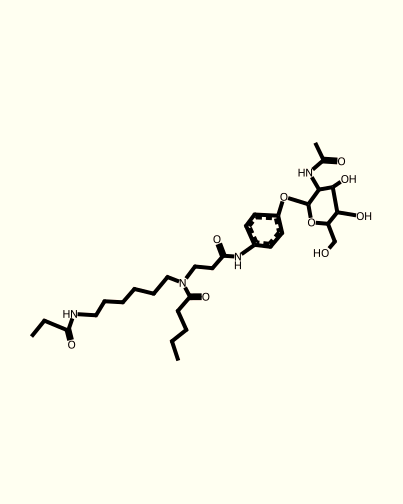 CCCCC(=O)N(CCCCCCNC(=O)CC)CCC(=O)Nc1ccc(OC2OC(CO)C(O)C(O)C2NC(C)=O)cc1